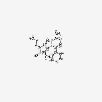 Cn1c(=O)n(CCO)c2nc3c(n21)C(c1cnccn1)=NCN3N